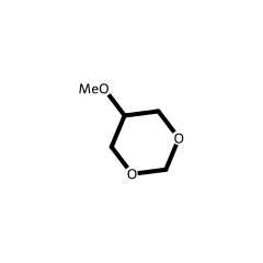 COC1COCOC1